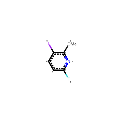 COc1nc(F)ccc1I